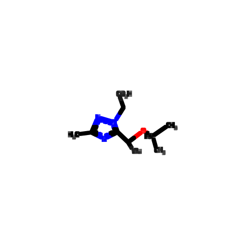 Cc1nc(C(O[SiH](C)C)C(C)(C)C)n(CC(=O)O)n1